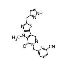 Cn1c2nc(Cc3cc[nH]n3)sc2c2cnn(Cc3cccc(C#N)n3)c(=O)c21